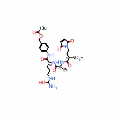 CC(C)[C@H](NC(=O)[C@@H](CCN1C(=O)C=CC1=O)S(=O)(=O)O)C(=O)N[C@@H](CCCNC(N)O)C(=O)Nc1ccc(COC(=O)C(C)(C)C)cc1